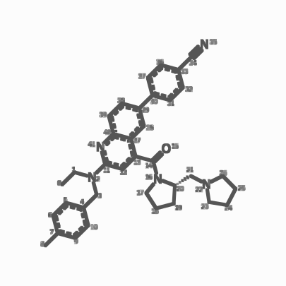 CCN(Cc1ccc(C)cc1)c1cc(C(=O)N2CCC[C@H]2CN2CCCC2)c2cc(-c3ccc(C#N)cc3)ccc2n1